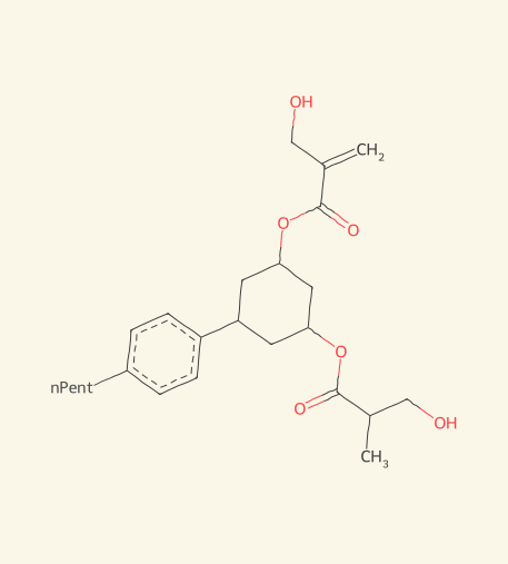 C=C(CO)C(=O)OC1CC(OC(=O)C(C)CO)CC(c2ccc(CCCCC)cc2)C1